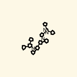 c1ccc(-c2cc(-c3ccccc3)cc(-n3c4ccccc4c4ccc(-c5ccc6c(c5)c5ccccc5n6-c5cccc(-c6nc(-c7ccccc7)cc(-c7ccccc7)n6)c5)cc43)c2)cc1